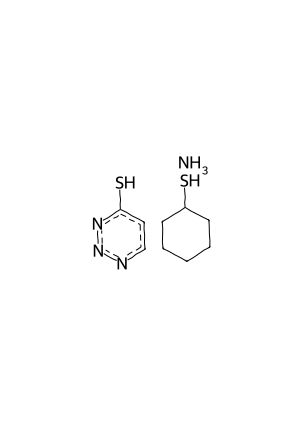 N.SC1CCCCC1.Sc1ccnnn1